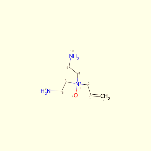 C=CC[N+]([O-])(CCN)CCN